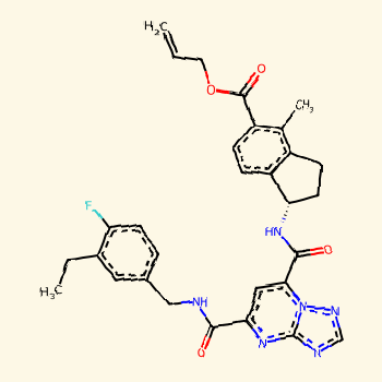 C=CCOC(=O)c1ccc2c(c1C)CC[C@@H]2NC(=O)c1cc(C(=O)NCc2ccc(F)c(CC)c2)nc2ncnn12